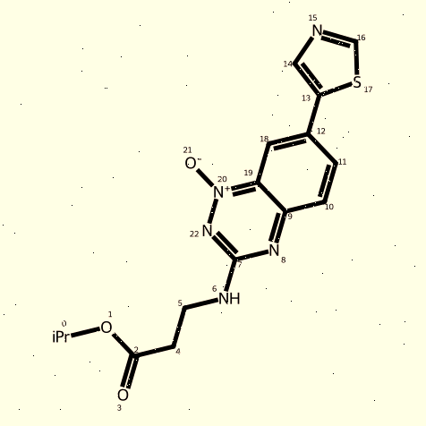 CC(C)OC(=O)CCNc1nc2ccc(-c3cncs3)cc2[n+]([O-])n1